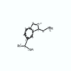 CC(C)C(S)c1ccc2c(c1)C(CC(C)(C)C)OC2